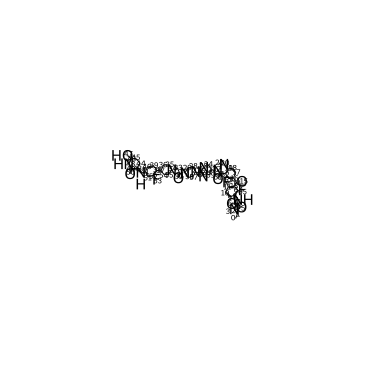 CCN(C)S(=O)(=O)Nc1ccc(F)c(C(=O)c2ccc3ncn(-c4cnc(N5CCN(C(=O)CN6CCC(c7ccc(N[C@@H]8CCC(O)NC8=O)cc7F)CC6)CC5)nc4)c(=O)c3c2)c1F